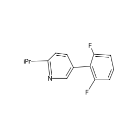 CC(C)c1ccc(-c2c(F)cccc2F)cn1